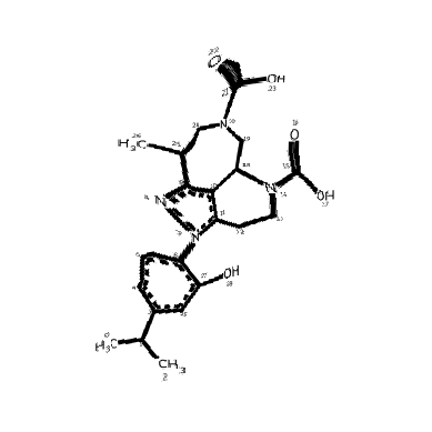 CC(C)c1ccc(-n2nc3c4c2CCN(C(=O)O)C4CN(C(=O)O)CC3C)c(O)c1